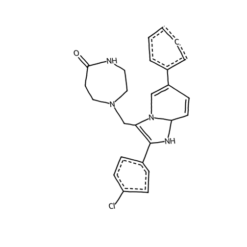 O=C1CCN(CC2=C(c3ccc(Cl)cc3)NC3C=CC(c4ccccc4)=CN23)CCN1